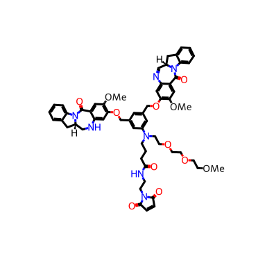 COCCOCCOCCN(CCCC(=O)NCCN1C(=O)C=CC1=O)c1cc(COc2cc3c(cc2OC)C(=O)N2c4ccccc4C[C@H]2C=N3)cc(COc2cc3c(cc2OC)C(=O)N2c4ccccc4C[C@H]2CN3)c1